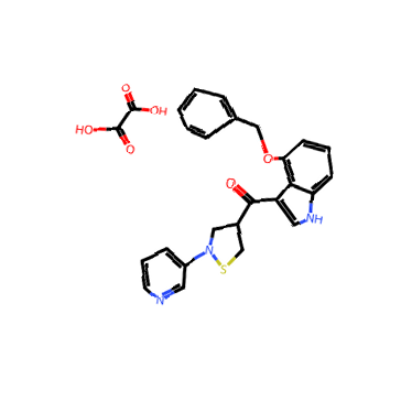 O=C(O)C(=O)O.O=C(c1c[nH]c2cccc(OCc3ccccc3)c12)C1CSN(c2cccnc2)C1